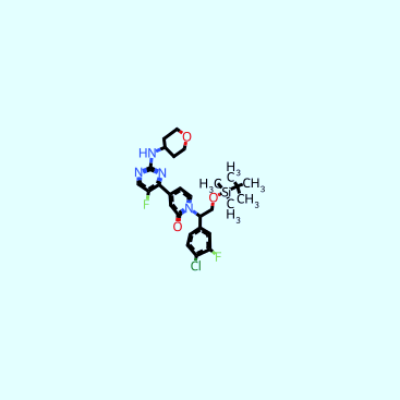 CC(C)(C)[Si](C)(C)OCC(c1ccc(Cl)c(F)c1)n1ccc(-c2nc(NC3CCOCC3)ncc2F)cc1=O